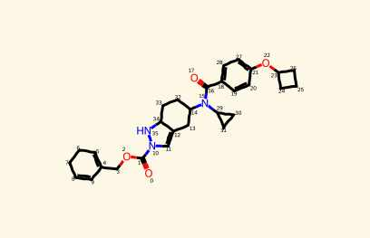 O=C(OCC1=CCCC=C1)N1C=C2CC(N(C(=O)c3ccc(OC4CCC4)cc3)C3CC3)CCC2N1